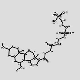 COC1CCC2(C)C(C1)CC(OC)C1C2CCC2(C)C(C(C)CCC(=O)NCCS(=O)(=O)OCOP(=O)(O)O)CCC12